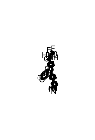 Cn1ncc2ccc(-c3ccc(N(Cc4ccc(C(=O)NNC(=O)C(F)F)cc4)C(=O)N4CCS(=O)(=O)CC4)cc3)cc21